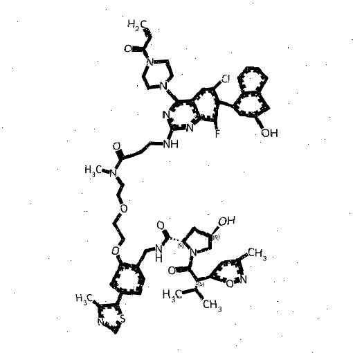 C=CC(=O)N1CCN(c2nc(NCCC(=O)N(C)CCOCCOc3cc(-c4scnc4C)ccc3CNC(=O)[C@@H]3C[C@@H](O)CN3C(=O)[C@H](c3cc(C)no3)C(C)C)nc3c(F)c(-c4cc(O)cc5ccccc45)c(Cl)cc23)CC1